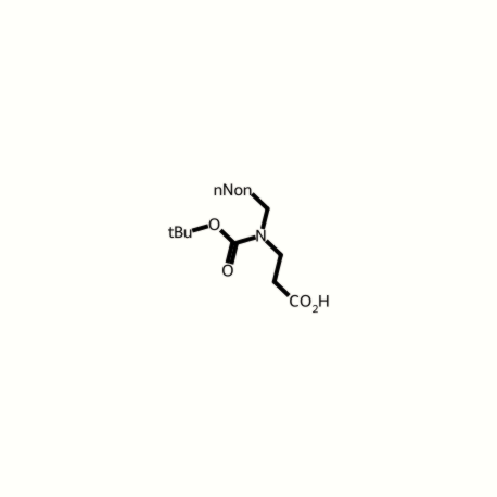 CCCCCCCCCCN(CCC(=O)O)C(=O)OC(C)(C)C